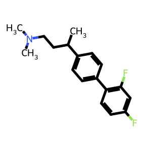 CC(CCN(C)C)c1ccc(-c2ccc(F)cc2F)cc1